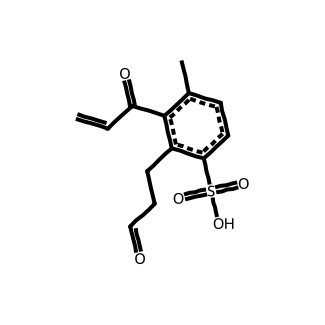 C=CC(=O)c1c(C)ccc(S(=O)(=O)O)c1CCC=O